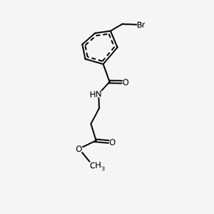 COC(=O)CCNC(=O)c1cccc(CBr)c1